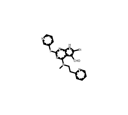 CCc1[nH]c2nc(Sc3cccnc3)nc(N(C)CCc3ccccn3)c2c1C=O